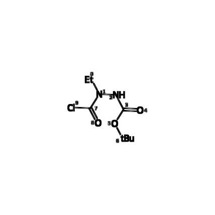 CCN(NC(=O)OC(C)(C)C)C(=O)Cl